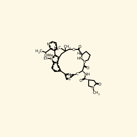 CCn1c(-c2cccnc2[C@H](C)OC)c2c3cc(ccc31)-c1csc(n1)C[C@H](NC(=O)[C@H]1CC(=O)N(C)C1)C(=O)N1CCC[C@H](N1)C(=O)OCC(C)(C)C2